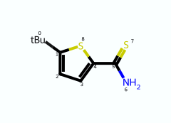 CC(C)(C)c1ccc(C(N)=S)s1